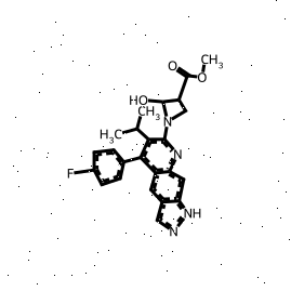 COC(=O)C1CN(c2nc3cc4[nH]ncc4cc3c(-c3ccc(F)cc3)c2C(C)C)C1O